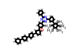 Bc1c(B)c(B)c(-c2cccc(-c3nc(-c4ccccc4)nc(-c4ccc5c(c4)oc4ccc(-c6ccc(-c7ccc(-c8ccccc8)cc7)cc6)cc45)n3)c2)c(B)c1B